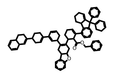 O=C(OCc1ccccc1)C1C(c2cccc3c2C2CCCC=C2C3(C2=CC=CCC2)c2ccccc2)=CCCC1C1=C(C2C=C(C3=CCC(C4=CC5C=CC=CC5CC4)CC3)C=CC2)CC2c3ccccc3OC2C1